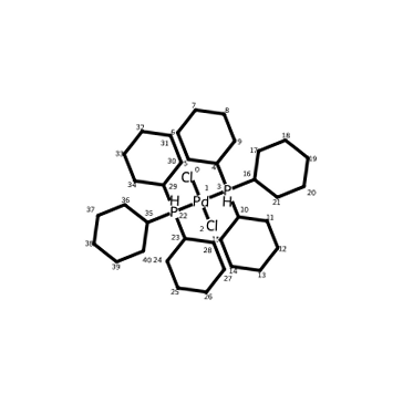 [Cl][Pd]([Cl])([PH](C1CCCCC1)(C1CCCCC1)C1CCCCC1)[PH](C1CCCCC1)(C1CCCCC1)C1CCCCC1